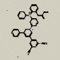 C=CC(=C)Cc1ccccc1[SH](C1C=CC=CC1)C1C=C([C@H]2C=C(c3cc(C#N)cc(C#N)c3)C=C(c3ccccc3)C2)C=CC1